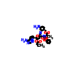 CCC(=O)O[C@@H]1C[C@@](C#N)(COP(=O)(N[C@@H](C)C(=O)OC[C@H]2CC[C@H](N)CC2)Oc2ccccc2)O[C@H]1c1ccc2c(N)ncnn12